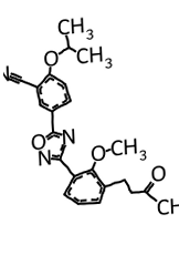 COc1c(CCC(C)=O)cccc1-c1noc(-c2ccc(OC(C)C)c(C#N)c2)n1